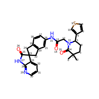 CC1(C)CCC(c2ccsc2)N(CC(=O)Nc2ccc3c(c2)CC2(C3)C(=O)Nc3ncccc32)C1=O